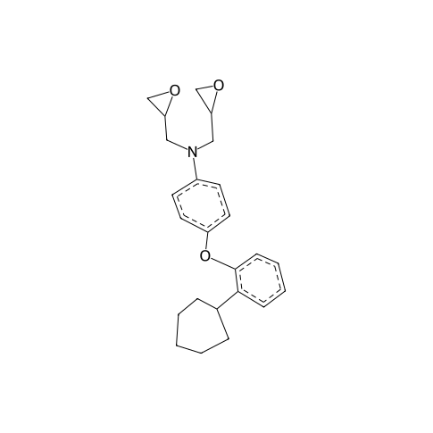 c1ccc(C2CCCCC2)c(Oc2ccc(N(CC3CO3)CC3CO3)cc2)c1